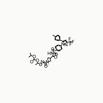 Cc1ccc(-c2cc(C(F)(F)F)nn2-c2ccc(S(=O)(=O)NC(=O)C3CN([N+]([O-])=NOC(C)OC(=O)OC(C)C)C3)cc2)cc1